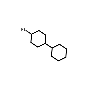 CCC1CCC(C2CC[CH]CC2)CC1